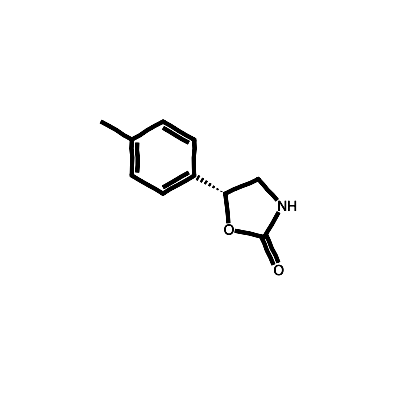 Cc1ccc([C@@H]2CNC(=O)O2)cc1